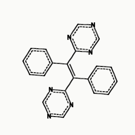 c1ccc(C(=C(c2ccccc2)c2ncncn2)c2ncncn2)cc1